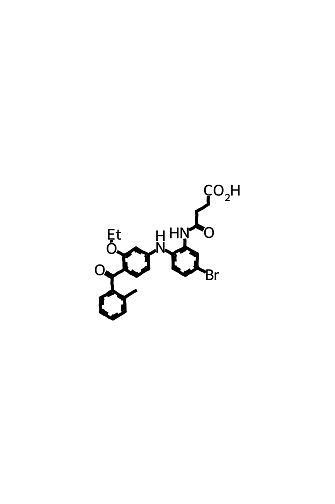 CCOc1cc(Nc2ccc(Br)cc2NC(=O)CCC(=O)O)ccc1C(=O)c1ccccc1C